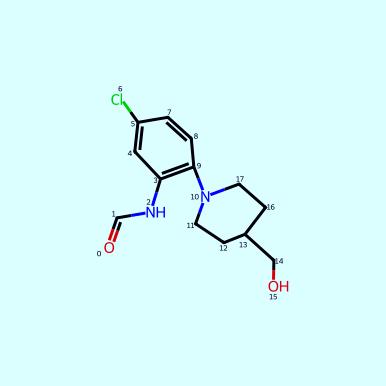 O=CNc1cc(Cl)ccc1N1CCC(CO)CC1